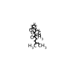 CC[C@@H](C)CCC(=O)NC(=O)[C@H](CC)N1CCCC1=O